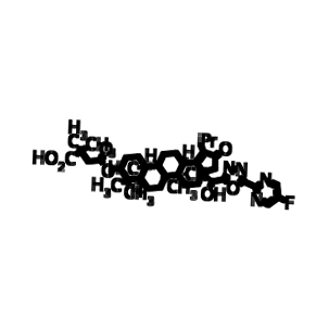 CC(C)C1=C2[C@H]3CC[C@@H]4[C@@]5(C)CC[C@H](OC(=O)CC(C)(C)C(=O)O)C(C)(C)[C@@H]5CC[C@@]4(C)[C@]3(C)CC[C@@]2(C(O)c2nnc(-c3ncc(F)cn3)o2)CC1=O